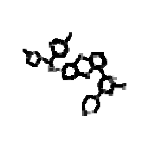 Cc1ccc(C(Nc2ccc3c(c2)Sc2cccc(-c4cc(N5CCOCC5)cc(=O)[nH]4)c2S3)[C@H]2CCN(C)C2)nc1